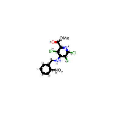 COC(=O)c1nc(Cl)c(F)c(NCc2ccccc2[N+](=O)[O-])c1Br